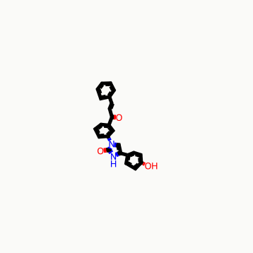 O=C(C=Cc1ccccc1)c1cccc(-n2cc(-c3ccc(O)cc3)[nH]c2=O)c1